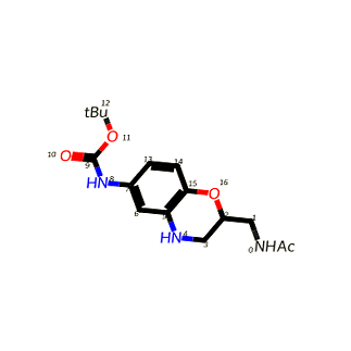 CC(=O)NCC1CNc2cc(NC(=O)OC(C)(C)C)ccc2O1